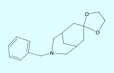 c1ccc(CN2CC3CC(C2)CC2(C3)OCCO2)cc1